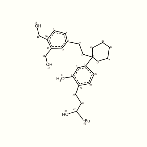 Cc1cc(C2(CCc3ccc(CO)c(CO)c3)CCCCC2)ccc1CCC(O)C(C)(C)C